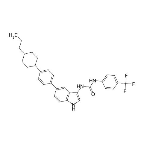 CCCC1CCC(c2ccc(-c3ccc4[nH]cc(NC(=O)Nc5ccc(C(F)(F)F)cc5)c4c3)cc2)CC1